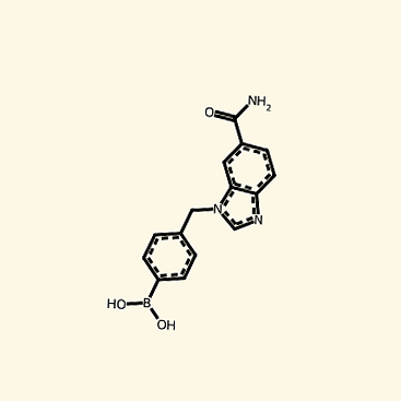 NC(=O)c1ccc2ncn(Cc3ccc(B(O)O)cc3)c2c1